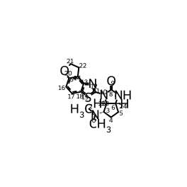 CN(C)[C@H]1CC[C@H]2NC(=O)N(c3nc4c5c(ccc4s3)OCC5)[C@H]21